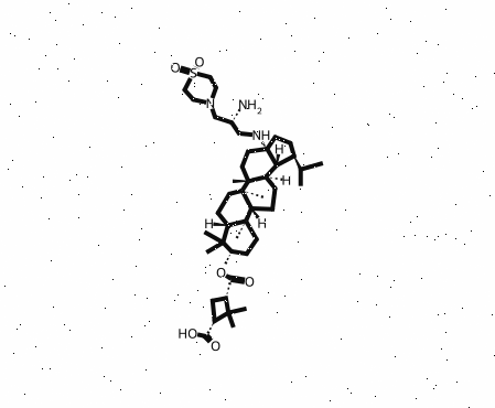 CC(C)[C@@H]1CC[C@]2(NC[C@@H](N)CN3CCS(=O)(=O)CC3)CC[C@]3(C)[C@H](CC[C@@H]4[C@@]5(C)CC[C@H](OC(=O)[C@H]6C[C@@H](C(=O)O)C6(C)C)C(C)(C)[C@@H]5CC[C@]43C)[C@@H]12